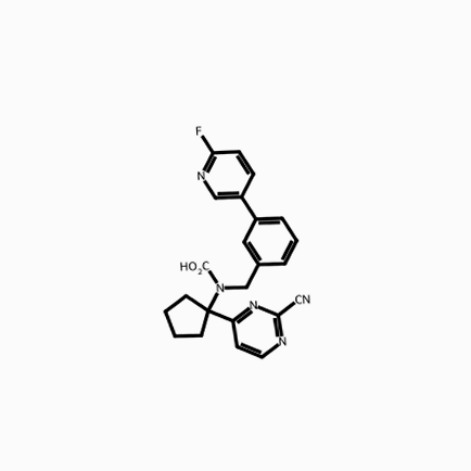 N#Cc1nccc(C2(N(Cc3cccc(-c4ccc(F)nc4)c3)C(=O)O)CCCC2)n1